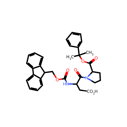 CC(C)(OC(=O)C1CCCN1C(=O)C(CC(=O)O)NC(=O)OCC1c2ccccc2-c2ccccc21)c1ccccc1